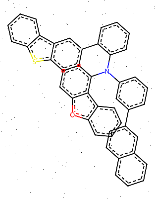 c1cc(-c2ccc3ccccc3c2)cc(N(c2ccccc2-c2ccc3sc4ccccc4c3c2)c2cccc3oc4ccccc4c23)c1